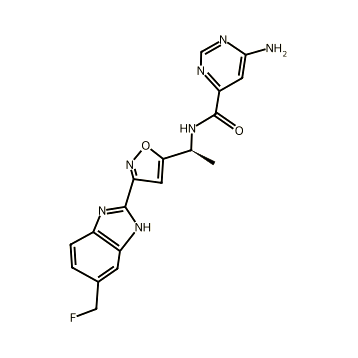 C[C@H](NC(=O)c1cc(N)ncn1)c1cc(-c2nc3ccc(CF)cc3[nH]2)no1